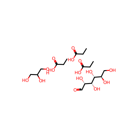 CCC(=O)O.CCC(=O)O.CCC(=O)O.O=C[C@H](O)[C@@H](O)[C@H](O)[C@H](O)CO.OCC(O)CO